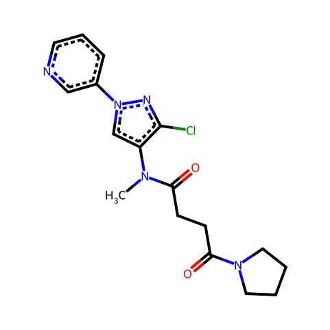 CN(C(=O)CCC(=O)N1CCCC1)c1cn(-c2cccnc2)nc1Cl